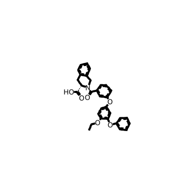 CCOc1ccc(Oc2cccc(C(=O)N3Cc4ccccc4C[C@H]3C(=O)O)c2)cc1Oc1ccccc1